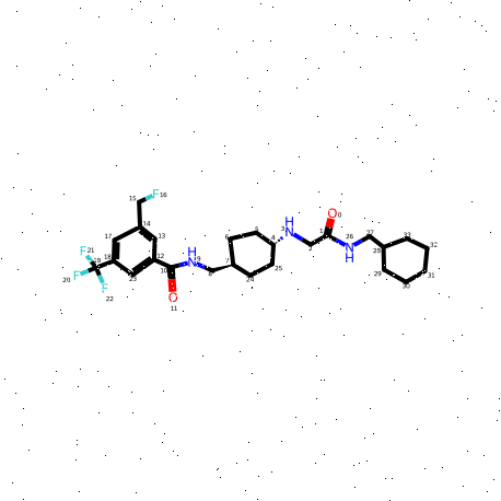 O=C(CN[C@H]1CC[C@H](CNC(=O)c2cc(CF)cc(C(F)(F)F)c2)CC1)NCC1CCCCC1